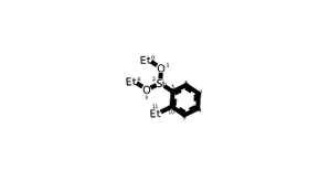 CCO[Si](OCC)c1ccccc1CC